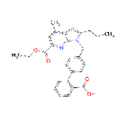 CCCc1cc2c(C)cc(C(=O)OCC)nc2n1Cc1ccc(-c2ccccc2C(=O)O)cc1